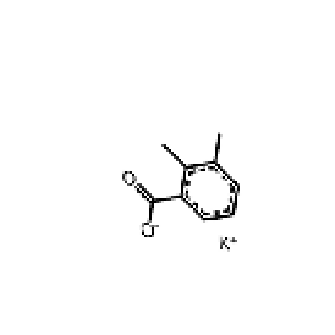 Cc1cccc(C(=O)[O-])c1C.[K+]